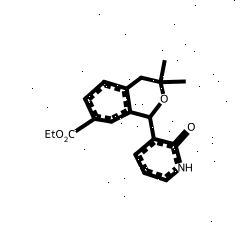 CCOC(=O)c1ccc2c(c1)C(c1ccc[nH]c1=O)OC(C)(C)C2